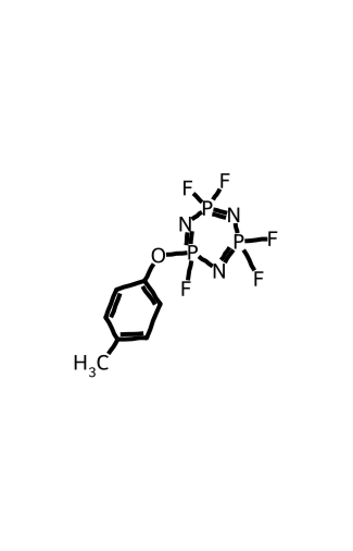 Cc1ccc(OP2(F)=NP(F)(F)=NP(F)(F)=N2)cc1